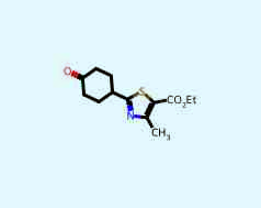 CCOC(=O)c1sc(C2CCC(=O)CC2)nc1C